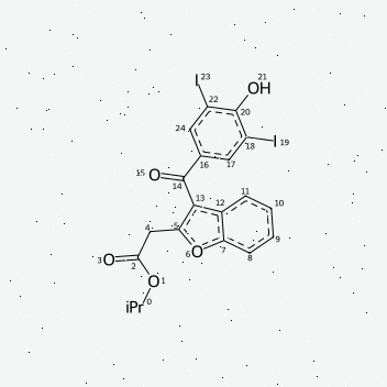 CC(C)OC(=O)Cc1oc2ccccc2c1C(=O)c1cc(I)c(O)c(I)c1